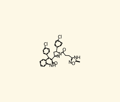 C=C1NC(CCC(=O)N2N=C(c3c(-c4ccc(Cl)cc4)c4ccccc4[nH]c3=O)CC2c2ccc(Cl)cc2)=NO1